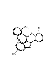 Cc1ccn2c(Nc3c(C)cccc3C)c(-c3cccc(Cl)c3Cl)nc2c1